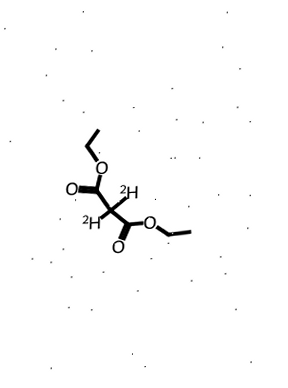 [2H]C([2H])(C(=O)OCC)C(=O)OCC